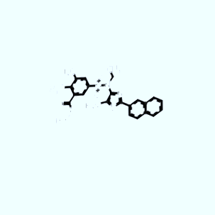 CCN(c1nc(-c2ccc3ccccc3c2)sc1C)S(=O)(=O)c1cc(C)c(C)c(C(=O)OC)c1